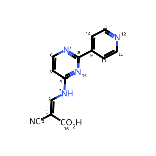 N#CC(=CNc1ccnc(-c2ccncc2)n1)C(=O)O